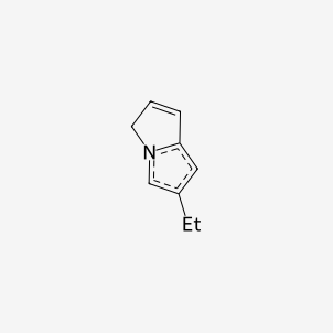 CCc1cc2n(c1)CC=C2